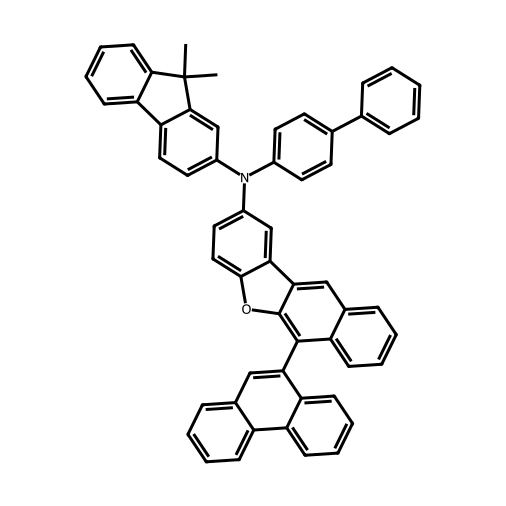 CC1(C)c2ccccc2-c2ccc(N(c3ccc(-c4ccccc4)cc3)c3ccc4oc5c(-c6cc7ccccc7c7ccccc67)c6ccccc6cc5c4c3)cc21